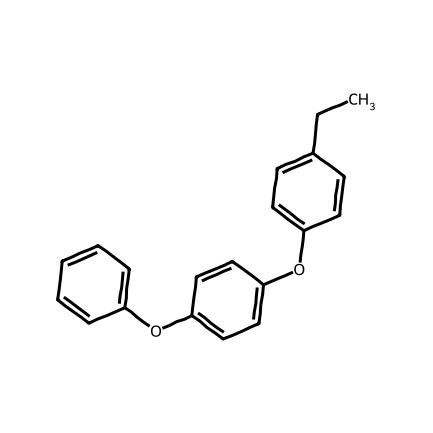 CCc1ccc(Oc2ccc(Oc3ccccc3)cc2)cc1